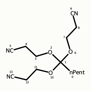 CCCCCC(OCCC#N)(OCCC#N)OCCC#N